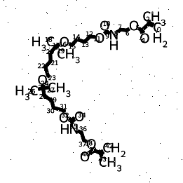 C=C(C)C(=O)OCCNC(=O)OCCCCOC(C)(C)CCCCOC(C)(C)CCCCOC(=O)NCCOC(=O)C(=C)C